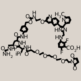 Cc1cccc(-c2nc(CNc3ccc(F)c(C(=O)O)c3F)[nH]c2-c2ccc3ncc(OCCNC(=O)OCc4ccc(NC(=O)C(CCCNC(N)=O)NC(=O)C(NC(=O)CCOCCOCCOCCOCCN5C(=O)C=CC5=O)C(C)C)cc4)cc3c2)n1